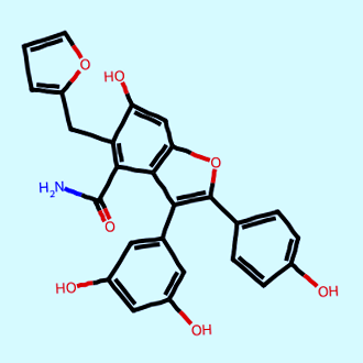 NC(=O)c1c(Cc2ccco2)c(O)cc2oc(-c3ccc(O)cc3)c(-c3cc(O)cc(O)c3)c12